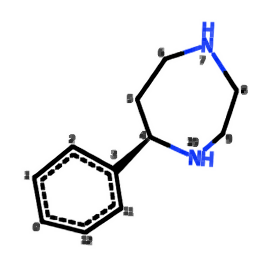 c1ccc([C@H]2CCNCCN2)cc1